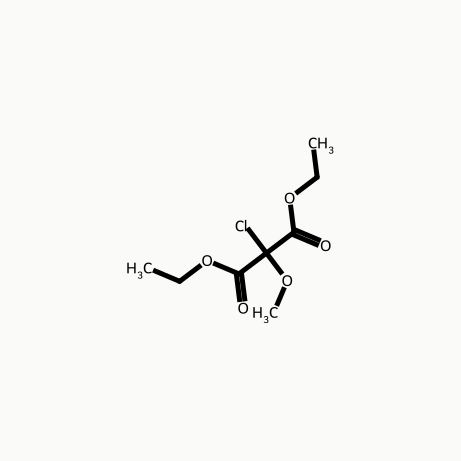 CCOC(=O)C(Cl)(OC)C(=O)OCC